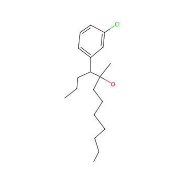 CCCCCCCC(C)([O])C(CCC)c1cccc(Cl)c1